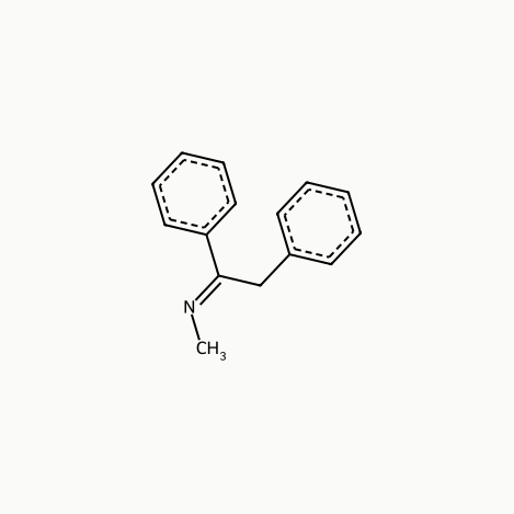 C/N=C(\Cc1ccccc1)c1ccccc1